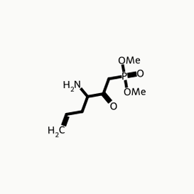 C=CCC(N)C(=O)CP(=O)(OC)OC